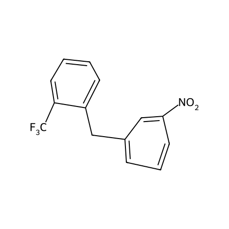 O=[N+]([O-])c1cccc(Cc2ccccc2C(F)(F)F)c1